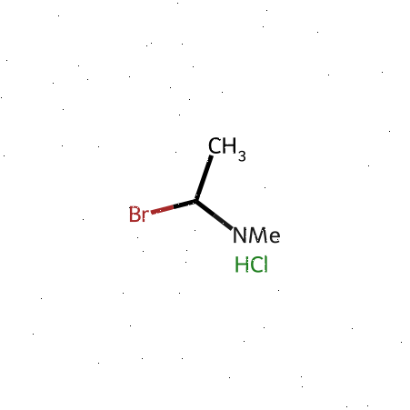 CNC(C)Br.Cl